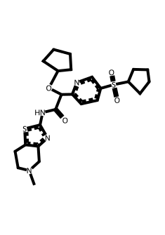 CN1CCc2sc(NC(=O)C(OC3CCCC3)c3ccc(S(=O)(=O)C4CCCC4)cn3)nc2C1